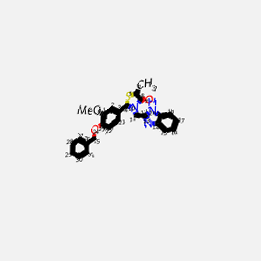 COc1cc(C2SC(C)C(=O)N2Cc2nc3ccccc3[nH]2)ccc1OCc1ccccc1